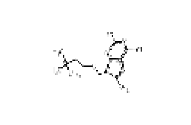 C[Si](C)(C)CCOCn1c(C(F)(F)F)cc2c(Cl)nc(Cl)nc21